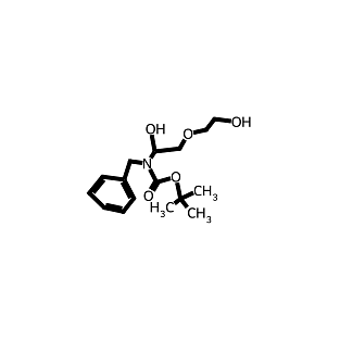 CC(C)(C)OC(=O)N(Cc1ccccc1)C(O)COCCO